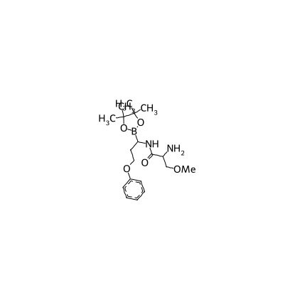 COCC(N)C(=O)NC(CCOc1ccccc1)B1OC(C)(C)C(C)(C)O1